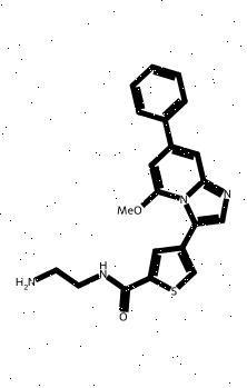 COc1cc(-c2ccccc2)cc2ncc(-c3csc(C(=O)NCCN)c3)n12